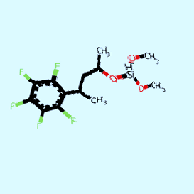 CO[SiH](OC)OC(C)CC(C)c1c(F)c(F)c(F)c(F)c1F